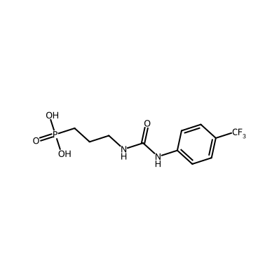 O=C(NCCCP(=O)(O)O)Nc1ccc(C(F)(F)F)cc1